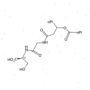 CCCC(=O)OC(CCC)CC(=O)NCC(=O)N[C@@H](CO)C(=O)O